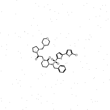 O=C1[C@@H](N(Cc2ccccc2)S(=O)(=O)c2ccc(-c3ccc(Cl)s3)s2)CCCN1CC(=O)N1CCC[C@H]1CN1CCOCC1